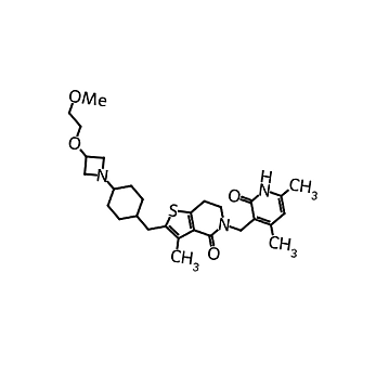 COCCOC1CN(C2CCC(Cc3sc4c(c3C)C(=O)N(Cc3c(C)cc(C)[nH]c3=O)CC4)CC2)C1